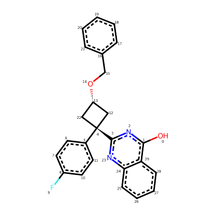 Oc1nc([C@]2(c3ccc(F)cc3)C[C@@H](OCc3ccccc3)C2)nc2ccccc12